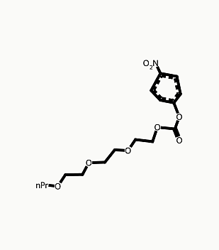 CCCOCCOCCOCCOC(=O)Oc1ccc([N+](=O)[O-])cc1